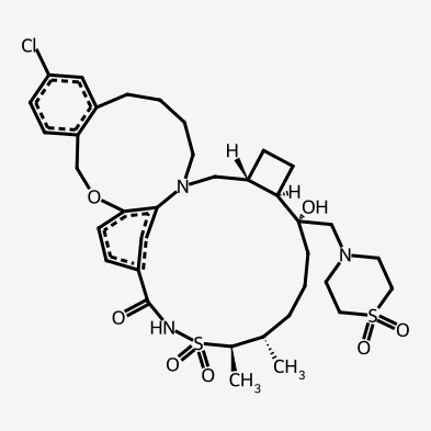 C[C@@H]1[C@@H](C)CCC[C@](O)(CN2CCS(=O)(=O)CC2)[C@@H]2CC[C@H]2CN2CCCCc3cc(Cl)ccc3COc3ccc(cc32)C(=O)NS1(=O)=O